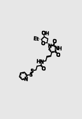 CC[C@H]1O[C@@H](n2cc(/C=C/CNC(=O)CCSSc3ccccn3)c(=O)[nH]c2=O)CC1O